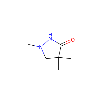 CN1CC(C)(C)C(=O)N1